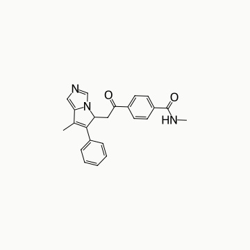 CNC(=O)c1ccc(C(=O)CC2C(c3ccccc3)=C(C)c3cncn32)cc1